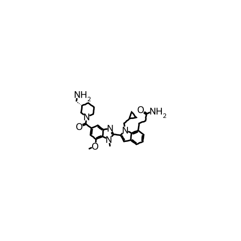 COc1cc(C(=O)N2CCC[C@@H](CN)C2)cc2nc(-c3cc4cccc(CCC(N)=O)c4n3CC3CC3)n(C)c12